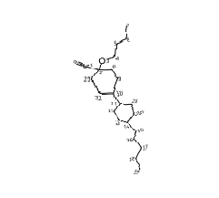 C#CC1(OCCCC)CCC(C2CCC(CCCCC)CC2)CC1